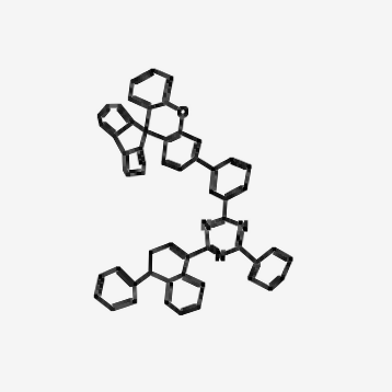 C1=C(c2nc(-c3ccccc3)nc(-c3cccc(-c4ccc5c(c4)Oc4ccccc4C54c5ccccc5-c5ccccc54)c3)n2)c2ccccc2C(c2ccccc2)C1